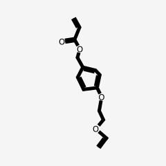 C=COCCOc1ccc(COC(=O)C=C)cc1